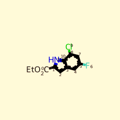 CCOC(=O)c1cc2cc(F)cc(Cl)c2[nH]1